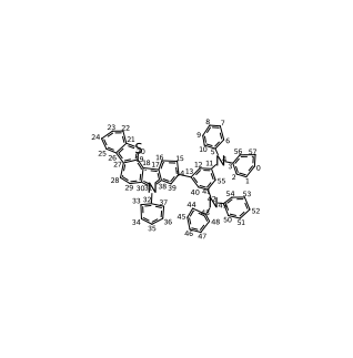 c1ccc(N(c2ccccc2)c2cc(-c3ccc4c5c6sc7ccccc7c6ccc5n(-c5ccccc5)c4c3)cc(N(c3ccccc3)c3ccccc3)c2)cc1